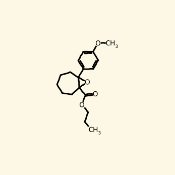 CCCOC(=O)C12CCCCCC1(c1ccc(OC)cc1)O2